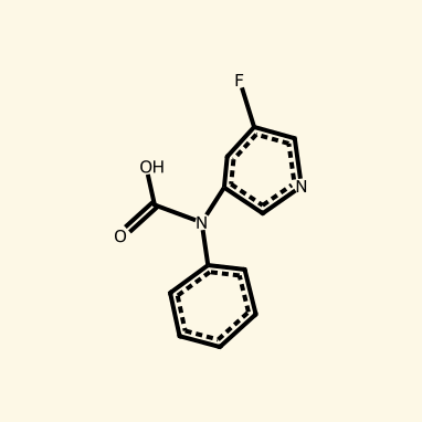 O=C(O)N(c1ccccc1)c1cncc(F)c1